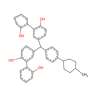 CC1CCC(c2ccc(C(c3ccc(O)c(-c4ccccc4O)c3)c3ccc(O)c(-c4ccccc4O)c3)cc2)CC1